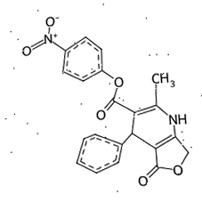 CC1=C(C(=O)Oc2ccc([N+](=O)[O-])cc2)C(c2ccccc2)C2=C(COC2=O)N1